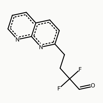 O=CC(F)(F)CCc1ccc2cccnc2n1